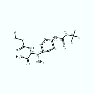 CCCC(=O)N[C@H](C(N)=O)[C@@H](N)c1ccc(NC(=O)OC(C)(C)C)cc1